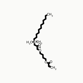 C=CC(=O)OCCCCOCC(O)C[N+](C)(C)CCCCCCCCCCCC